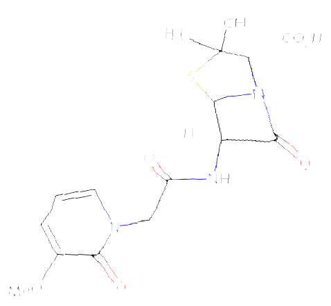 COc1cccn(CC(=O)NC2C(=O)N3[C@@H]2SC(C)(C)[C@@H]3C(=O)O)c1=O